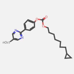 CCCCCCCCc1cnc(-c2ccc(OC(=O)OCCCCCCCC3CC3)cc2)nc1